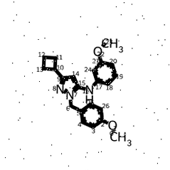 COc1ccc(Cn2nc(C3CCC3)cc2Nc2cccc(OC)c2)cc1